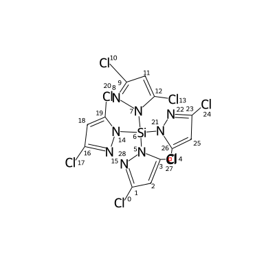 Clc1cc(Cl)n([Si](n2nc(Cl)cc2Cl)(n2nc(Cl)cc2Cl)n2nc(Cl)cc2Cl)n1